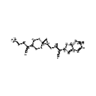 O=C(NCC1CC12CCN(C(=O)CCC(F)(F)F)CC2)N1C=C2C=CNC=C2C1